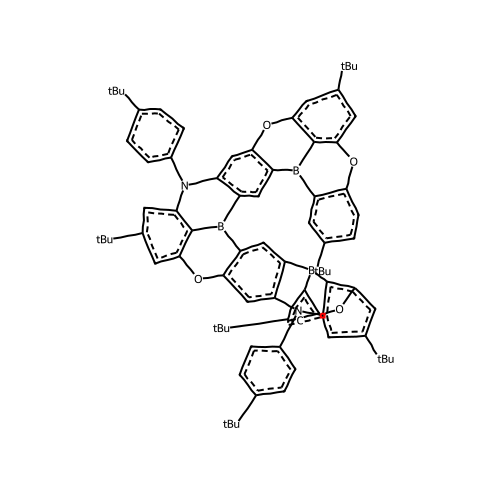 CC(C)(C)c1ccc(N2c3cc4c(cc3B3c5cc6c(cc5Oc5cc(C(C)(C)C)cc2c53)N(c2ccc(C(C)(C)C)cc2)c2cc(C(C)(C)C)cc3c2B6c2cc(C(C)(C)C)ccc2O3)B2c3cc(C(C)(C)C)ccc3Oc3cc(C(C)(C)C)cc(c32)O4)cc1